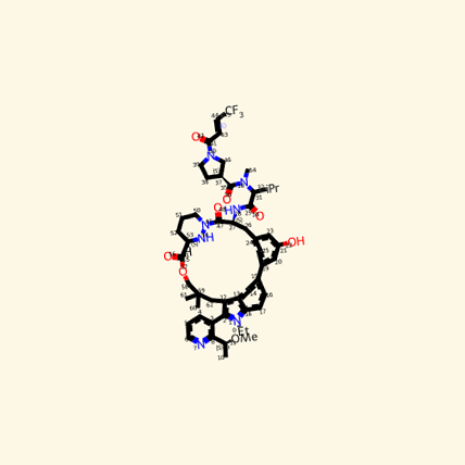 CCn1c(-c2cccnc2[C@H](C)OC)c2c3cc(ccc31)-c1cc(O)cc(c1)C[C@H](NC(=O)C(C(C)C)N(C)C(=O)[C@H]1CCN(C(=O)/C=C/C(F)(F)F)C1)C(=O)N1CCC[C@H](N1)C(=O)OCC(C)(C)C2